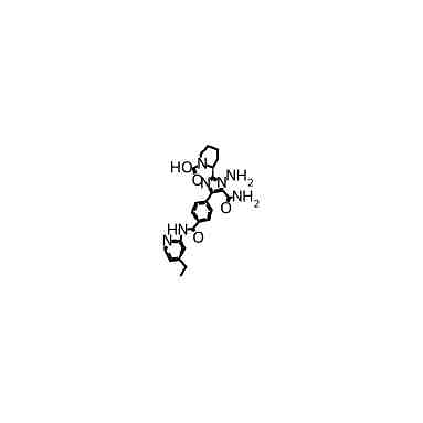 CCc1ccnc(NC(=O)c2ccc(-c3nc([C@@H]4CCCCN4C(=O)O)n(N)c3C(N)=O)cc2)c1